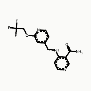 NC(=O)c1cnccc1NCc1ccnc(OCC(F)(F)F)c1